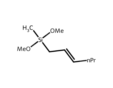 CCCC=CC[Si](C)(OC)OC